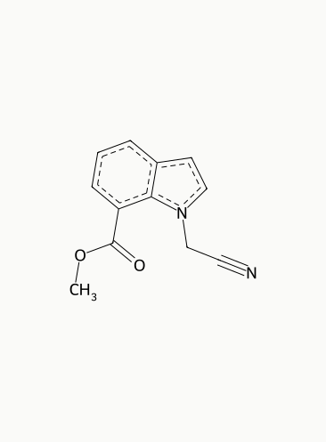 COC(=O)c1cccc2ccn(CC#N)c12